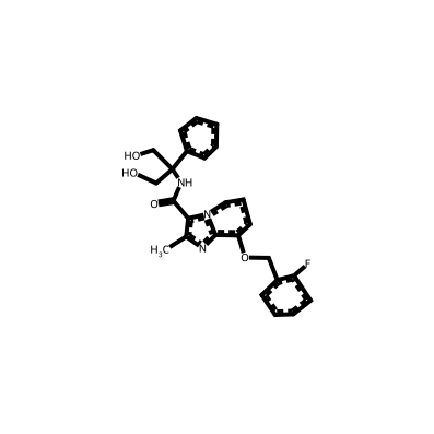 Cc1nc2c(OCc3ccccc3F)cccn2c1C(=O)NC(CO)(CO)c1ccccc1